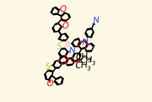 CC(C)(C)c1ccc(-c2cc3c(cc2-c2cc4c5c(c2)N(c2c(-c6ccccc6)cccc2-c2ccccc2)c2cc(N(c6ccccc6)c6ccc(C#N)cc6)ccc2B5c2ccc(-c5cccc6c5oc5ccc7oc8ccccc8c7c56)cc2S4)sc2ccc4oc5ccccc5c4c23)cc1